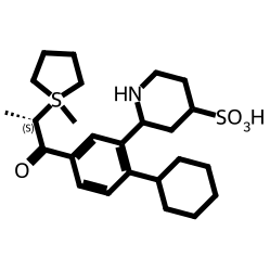 C[C@@H](C(=O)c1ccc(C2CCCCC2)c(C2CC(S(=O)(=O)O)CCN2)c1)S1(C)CCCC1